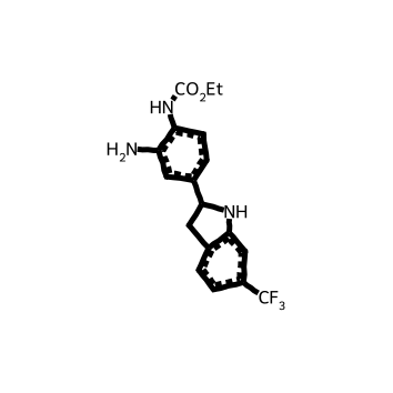 CCOC(=O)Nc1ccc(C2Cc3ccc(C(F)(F)F)cc3N2)cc1N